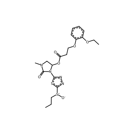 CCC[S+]([O-])c1nnc(N2C(=O)N(C)CC2OC(=O)CCOc2ccccc2OCC)s1